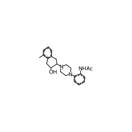 CC(=O)Nc1ccccc1N1CCN(C2Cc3cccc(C)c3CC2O)CC1